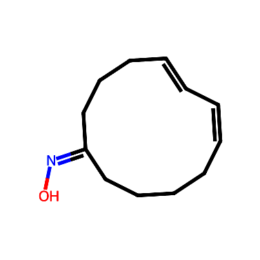 O/N=C1/CCC/C=C/C=C\CCCC1